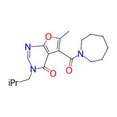 Cc1oc2ncn(CC(C)C)c(=O)c2c1C(=O)N1CCCCCC1